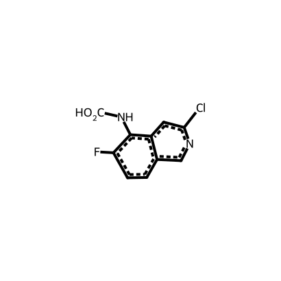 O=C(O)Nc1c(F)ccc2cnc(Cl)cc12